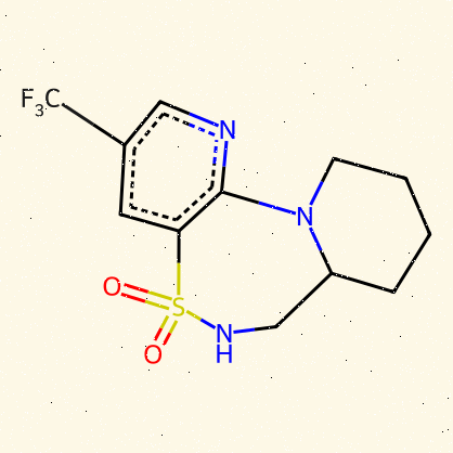 O=S1(=O)NCC2CCCCN2c2ncc(C(F)(F)F)cc21